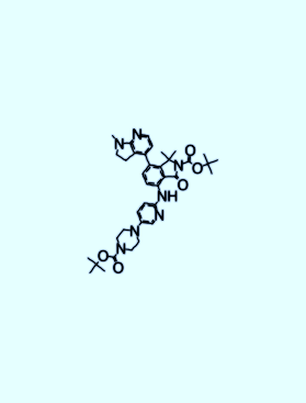 CN1CCc2c(-c3ccc(Nc4ccc(N5CCN(C(=O)OC(C)(C)C)CC5)cn4)c4c3C(C)(C)N(C(=O)OC(C)(C)C)C4=O)ccnc21